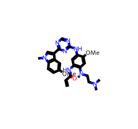 C=CC(=O)Nc1cc(Nc2ncnc(-c3cn(C)c4ccc(OC)cc34)n2)c(OC)cc1N(C)CCN(C)C